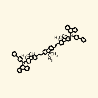 CC1(C)c2cc(/C=C/c3ccc4c(c3)C(C)(C)c3cc(N(c5ccc(-c6ccccc6)cc5)c5cc6ccccc6c6ccccc56)ccc3-4)ccc2-c2ccc(/C=C/c3ccc4c(c3)C(C)(C)c3cc(N(c5ccc(-c6ccccc6)cc5)c5cc6ccccc6c6ccccc56)ccc3-4)cc21